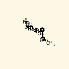 CCOc1cncc(C#Cc2ccccc2C(=O)N2CCN(c3ccc(C(=O)NCC(F)(F)F)nn3)CC2)c1